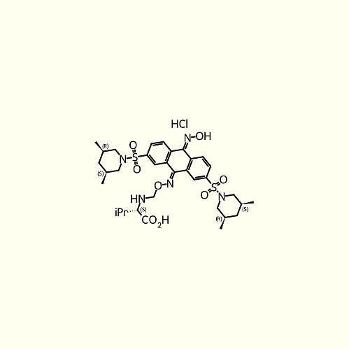 CC(C)[C@H](NCON=C1c2cc(S(=O)(=O)N3C[C@H](C)C[C@H](C)C3)ccc2C(=NO)c2ccc(S(=O)(=O)N3C[C@H](C)C[C@H](C)C3)cc21)C(=O)O.Cl